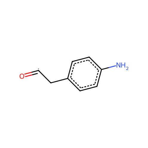 Nc1ccc(C[C]=O)cc1